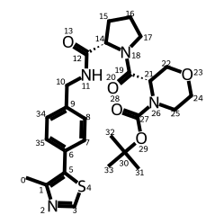 Cc1ncsc1-c1ccc(CNC(=O)[C@@H]2CCCN2C(=O)[C@@H]2COCCN2C(=O)OC(C)(C)C)cc1